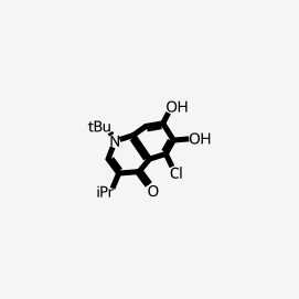 CC(C)c1cn(C(C)(C)C)c2cc(O)c(O)c(Cl)c2c1=O